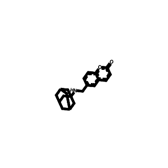 O=c1ccc2cc(CNC34CC5CC(CC(C5)C3)C4)ccc2o1